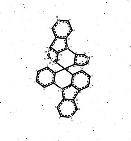 c1ccc2c(c1)-n1c3ccncc3c3cccc(c31)C21c2ccncc2-n2c3ccncc3c3cccc1c32